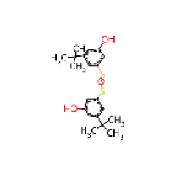 CC(C)(C)c1cc(O)cc(SOSc2cc(O)cc(C(C)(C)C)c2)c1